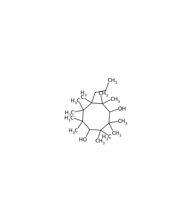 CCCC1(C)C(C)(C)C(O)C(C)(C)C(C)(C)C(O)C(C)(C)C1(C)C